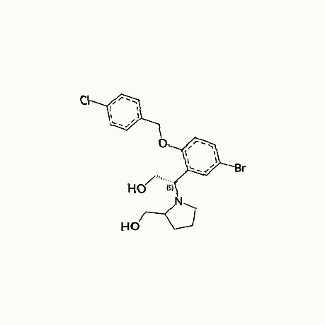 OCC1CCCN1[C@H](CO)c1cc(Br)ccc1OCc1ccc(Cl)cc1